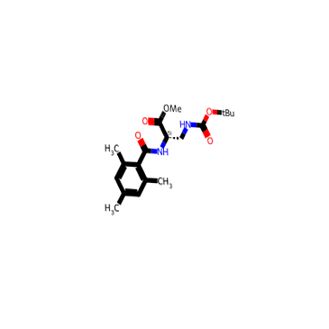 COC(=O)[C@H](CNC(=O)OC(C)(C)C)NC(=O)c1c(C)cc(C)cc1C